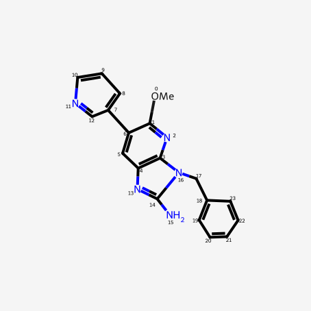 COc1nc2c(cc1-c1cccnc1)nc(N)n2Cc1ccccc1